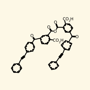 O=C(c1ccc(C#Cc2ccccc2)cc1)c1ccc(C(=O)O)c(C(=O)OC(=O)c2cc(C(=O)c3ccc(C#Cc4ccccc4)cc3)ccc2C(=O)O)c1